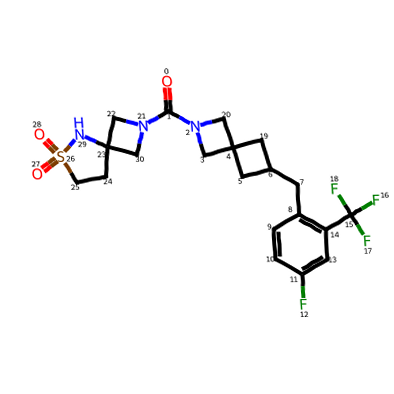 O=C(N1CC2(CC(Cc3ccc(F)cc3C(F)(F)F)C2)C1)N1CC2(CCS(=O)(=O)N2)C1